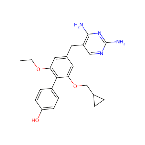 CCOc1cc(Cc2cnc(N)nc2N)cc(OCC2CC2)c1-c1ccc(O)cc1